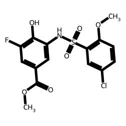 COC(=O)c1cc(F)c(O)c(NS(=O)(=O)c2cc(Cl)ccc2OC)c1